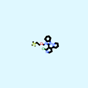 CS(C)(C)CCOCn1c(-c2c(-c3ccccn3)ccnc2Cl)nc2ccccc21